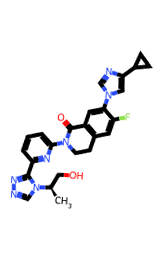 C[C@H](CO)n1cnnc1-c1cccc(N2CCc3cc(F)c(-n4cnc(C5CC5)c4)cc3C2=O)n1